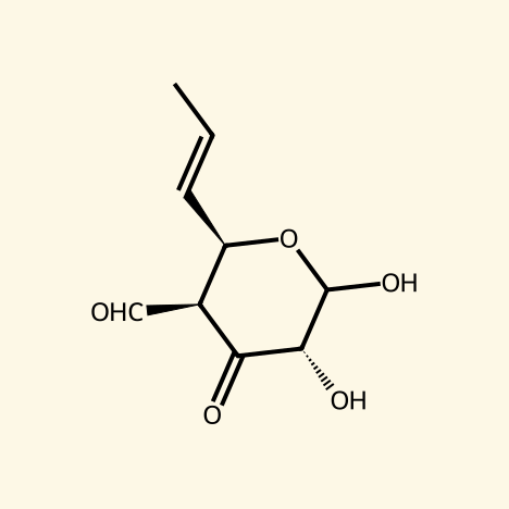 C/C=C/[C@H]1OC(O)[C@H](O)C(=O)[C@H]1C=O